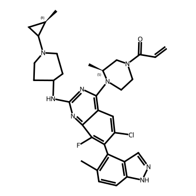 C=CC(=O)N1CCN(c2nc(NC3CCN(C4C[C@H]4C)CC3)nc3c(F)c(-c4c(C)ccc5[nH]ncc45)c(Cl)cc23)[C@@H](C)C1